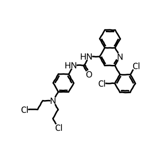 O=C(Nc1ccc(N(CCCl)CCCl)cc1)Nc1cc(-c2c(Cl)cccc2Cl)nc2ccccc12